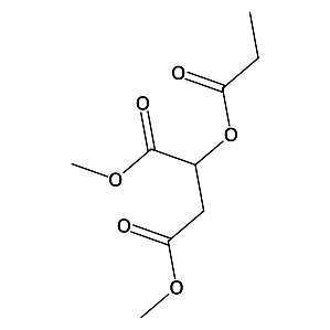 CCC(=O)OC(CC(=O)OC)C(=O)OC